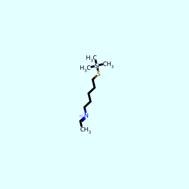 C/C=N/CCCCCS[Si](C)(C)C